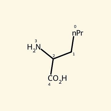 CCCCC(N)C(=O)O